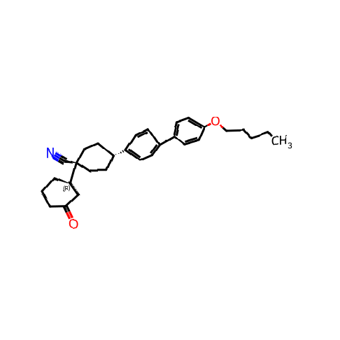 CCCCCOc1ccc(-c2ccc([C@H]3CC[C@@](C#N)([C@@H]4CCCC(=O)C4)CC3)cc2)cc1